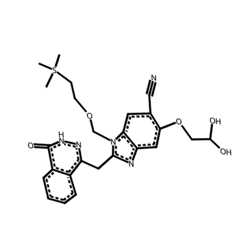 CS(C)(C)CCOCn1c(Cc2n[nH]c(=O)c3ccccc23)nc2cc(OCC(O)O)c(C#N)cc21